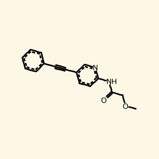 COCC(=O)Nc1ccc(C#Cc2ccccc2)cn1